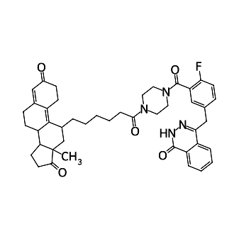 CC12CC(CCCCCC(=O)N3CCN(C(=O)c4cc(Cc5n[nH]c(=O)c6ccccc56)ccc4F)CC3)C3=C4CCC(=O)C=C4CCC3C1CCC2=O